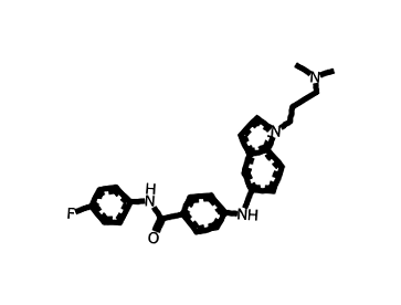 CN(C)CCCn1ccc2cc(Nc3ccc(C(=O)Nc4ccc(F)cc4)cc3)ccc21